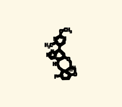 COc1ncc(-c2cc3c(n4cnnc24)NCc2c(F)ccc4c2[C@@H](CO4)CO3)c(C)n1